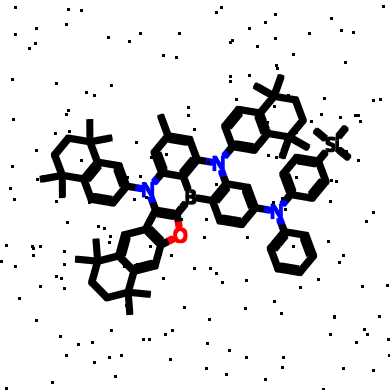 Cc1cc2c3c(c1)N(c1ccc4c(c1)C(C)(C)CCC4(C)C)c1c(oc4cc5c(cc14)C(C)(C)CCC5(C)C)B3c1ccc(N(c3ccccc3)c3ccc([Si](C)(C)C)cc3)cc1N2c1ccc2c(c1)C(C)(C)CCC2(C)C